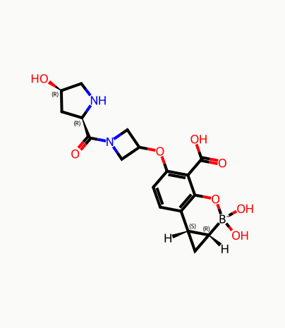 O=C(O)c1c(OC2CN(C(=O)[C@H]3C[C@@H](O)CN3)C2)ccc2c1O[B-](O)(O)[C@@H]1C[C@H]21